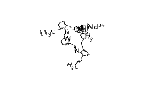 CCCc1cccc(CCC)c1N=Cc1cccc(C=Nc2c(CCC)cccc2CCC)n1.[Cl-].[Cl-].[Cl-].[Nd+3]